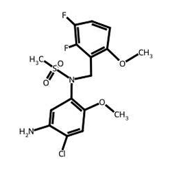 COc1cc(Cl)c(N)cc1N(Cc1c(OC)ccc(F)c1F)S(C)(=O)=O